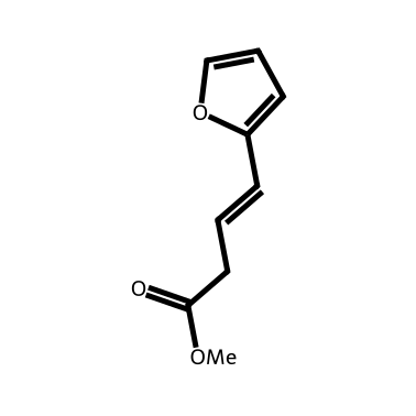 COC(=O)CC=Cc1ccco1